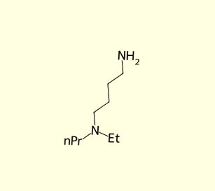 CCCN(CC)CCCCN